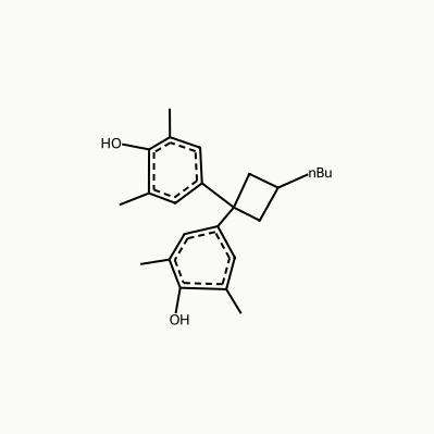 CCCCC1CC(c2cc(C)c(O)c(C)c2)(c2cc(C)c(O)c(C)c2)C1